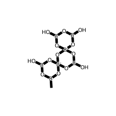 CB1OB(O)O[B-]2(O1)OB(O)O[B-]1(OB(O)OB(O)O1)O2